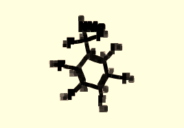 CNC(F)(F)c1c(F)c(F)c(F)c(F)c1F